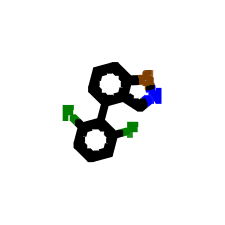 Fc1cccc(F)c1-c1cccc2sncc12